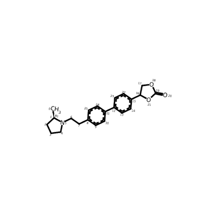 C[C@@H]1CCCN1CCc1ccc(-c2ccc(C3COC(=O)O3)cc2)cc1